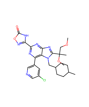 COCC(C)(OC)c1nc2nc(-c3noc(=O)[nH]3)nc(-c3cncc(Cl)c3)c2n1CC1CCC(C)CC1